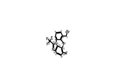 Cc1c(CBr)cccc1-n1c(C(F)(F)F)nc2ccc(F)c(F)c21